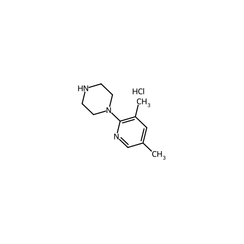 Cc1cnc(N2CCNCC2)c(C)c1.Cl